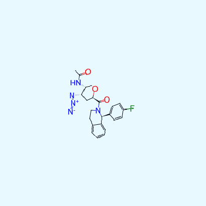 CC(=O)N[C@@H]1CO[C@@H](C(=O)N2CCc3ccccc3[C@@H]2c2ccc(F)cc2)C[C@@H]1N=[N+]=[N-]